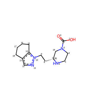 O=C(O)N1CCN[C@H](CCn2ncc3c2CCCC3)C1